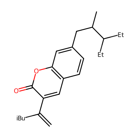 C=C(c1cc2ccc(CC(C)C(CC)CC)cc2oc1=O)C(C)CC